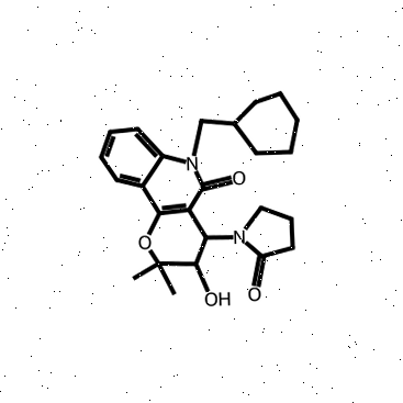 CC1(C)Oc2c(c(=O)n(CC3CCCCC3)c3ccccc23)C(N2CCCC2=O)C1O